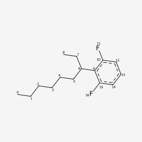 CCCCCCC(CC)c1c(F)cccc1F